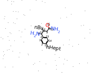 CCCCCCCc1ccc(C(N)[C@@H](CCCC)CC(N)=O)cc1